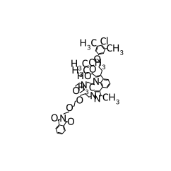 Cc1cc(OCCCc2c(C(O)OC(C)(C)C)n(CCN3CCOCC3)c3c(-c4c(C)nn(CCCOCCOCCN5C(=O)c6ccccc6C5=O)c4C)cccc23)cc(C)c1Cl